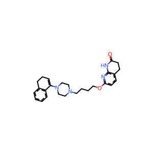 O=C1CCc2ccc(OCCCCN3CCN(C4=CCCc5ccccc54)CC3)nc2N1